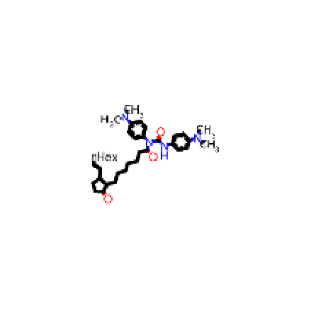 CCCCCC/C=C/C1CCC(=O)C1CCCCCCC(=O)N(C(=O)Nc1ccc(N(C)C)cc1)c1ccc(N(C)C)cc1